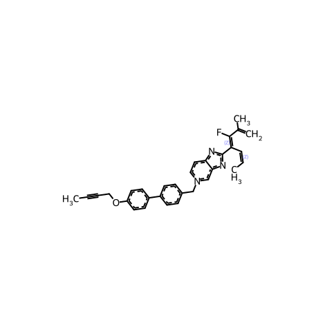 C=C(C)/C(F)=C(\C=C/C)c1nc2ccn(Cc3ccc(-c4ccc(OCC#CC)cc4)cc3)cc-2n1